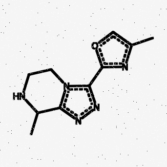 Cc1coc(-c2nnc3n2CCNC3C)n1